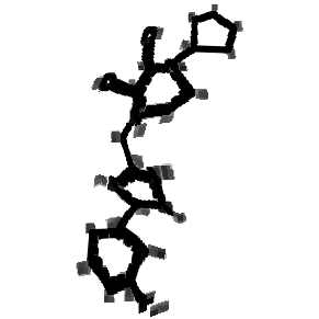 O=c1c(=O)n(C2CCCC2)ccn1Cc1nnc(-c2cccc(F)c2)s1